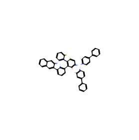 B1c2cc(-c3ccccc3)ccc2N(c2ccc(-c3ccccc3)cc2)c2cc3sc4ccccc4c3c(-c3cccc4c3[nH]c3cc5ccccc5cc34)c21